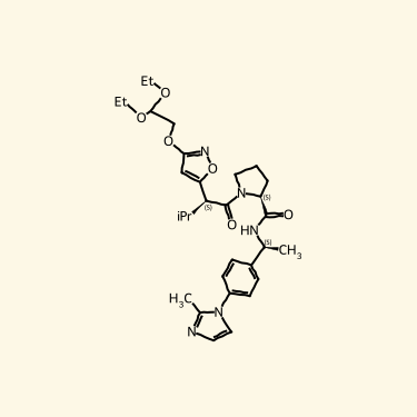 CCOC(COc1cc([C@@H](C(=O)N2CCC[C@H]2C(=O)N[C@@H](C)c2ccc(-n3ccnc3C)cc2)C(C)C)on1)OCC